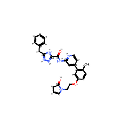 Cc1ccc(OCCN2C=CCC2=O)cc1-c1ccnc(NC(=O)c2nnc(Cc3ccccc3)[nH]2)c1